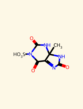 CC12NC(=O)N=C1C(=O)N(S(=O)(=O)O)C(=O)N2